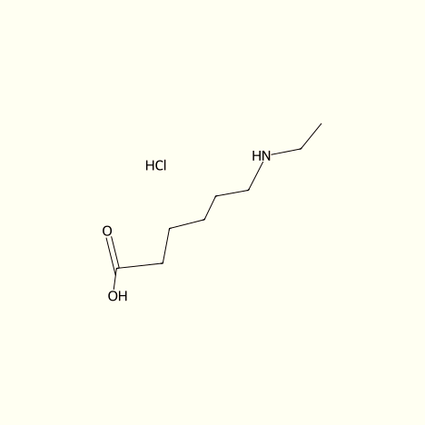 CCNCCCCCC(=O)O.Cl